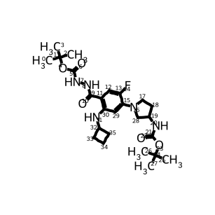 CC(C)(C)OC(=O)NNC(=O)c1cc(F)c(N2CCC(NC(=O)OC(C)(C)C)C2)cc1NC1CCC1